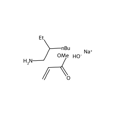 C=CC(=O)OC.CCCCC(CC)CN.[Na+].[OH-]